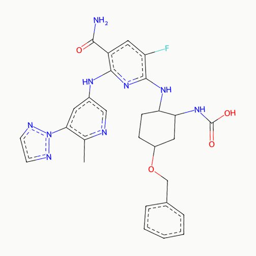 Cc1ncc(Nc2nc(NC3CCC(OCc4ccccc4)CC3NC(=O)O)c(F)cc2C(N)=O)cc1-n1nccn1